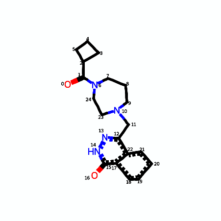 O=C(C1CCC1)N1CCCN(Cc2n[nH]c(=O)c3ccccc23)CC1